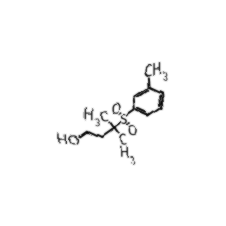 Cc1cccc(S(=O)(=O)C(C)(C)CCO)c1